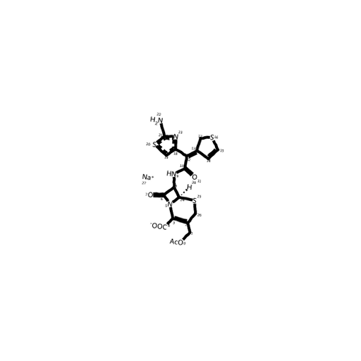 CC(=O)OCC1=C(C(=O)[O-])N2C(=O)C(NC(=O)/C(=C3\C=CSC3)c3csc(N)n3)[C@H]2SC1.[Na+]